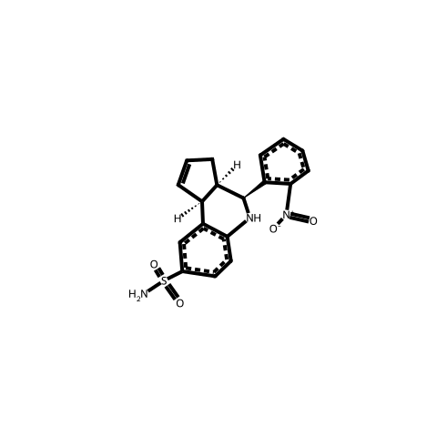 NS(=O)(=O)c1ccc2c(c1)[C@H]1C=CC[C@H]1[C@@H](c1ccccc1[N+](=O)[O-])N2